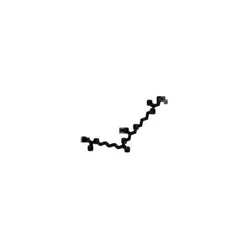 C=CC(=O)OCCCCOCC(O)COC(=O)CCCCCOC(=O)C(C)CC